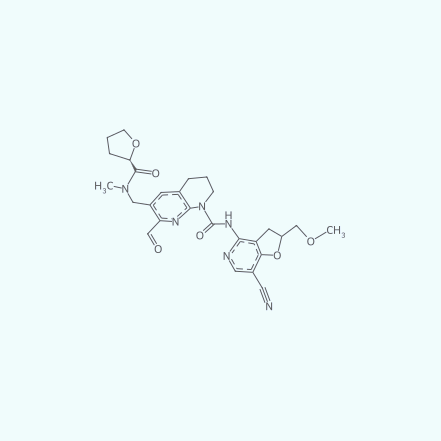 COCC1Cc2c(NC(=O)N3CCCc4cc(CN(C)C(=O)[C@H]5CCCO5)c(C=O)nc43)ncc(C#N)c2O1